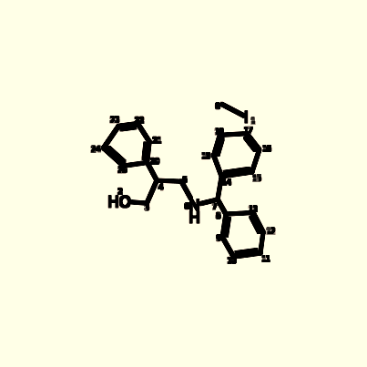 CI.OCC(CNC(c1ccccc1)c1ccccc1)c1ccccc1